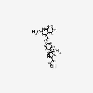 Cc1cc(COc2ccc(C3(C)CC(CCO)=NO3)cc2)c2ccccc2n1